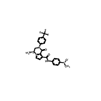 C[S+]([O-])c1ccc(NC(=O)c2ccn3c2C(=O)N(c2ccc(C(F)(F)F)cc2)C[C@@H]3N)cc1